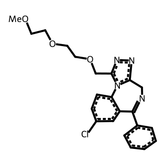 COCCOCCOCc1nnc2n1-c1ccc(Cl)cc1C(c1ccccc1)=NC2